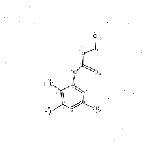 C[CH]OC(=O)Oc1cc(C)cc(C)c1C